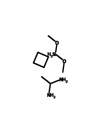 C1CCC1.CC(N)N.CO[SiH2]OC